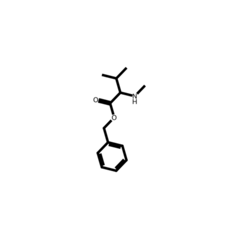 CNC(C(=O)OCc1ccccc1)C(C)C